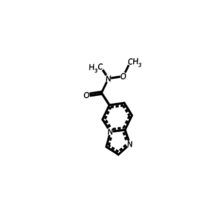 CON(C)C(=O)c1ccc2nccn2c1